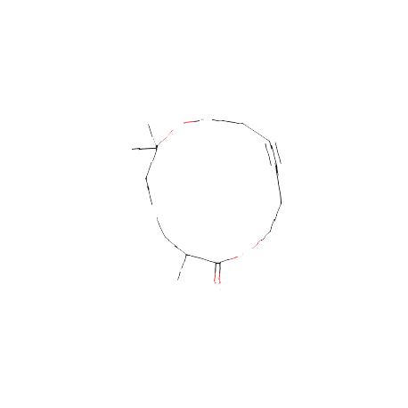 CC1CCCC(C)(C)OCCC#CCCOC1=O